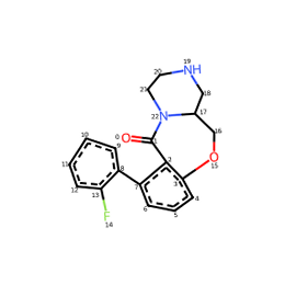 O=C1c2c(cccc2-c2ccccc2F)OCC2CNCCN12